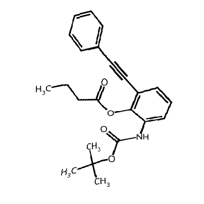 CCCC(=O)Oc1c(C#Cc2ccccc2)cccc1NC(=O)OC(C)(C)C